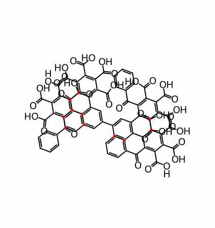 O=C(O)c1c(C(=O)O)c(C(=O)O)c(-c2ccc(-c3ccc(-c4c(C(=O)O)c(C(=O)O)c(C(=O)O)c(C(=O)O)c4C(=O)c4ccccc4)c(-c4c(C(=O)O)c(C(=O)O)c(C(=O)O)c(C(=O)O)c4C(=O)c4ccccc4)c3)cc2-c2c(C(=O)O)c(C(=O)O)c(C(=O)O)c(C(=O)O)c2C(=O)c2ccccc2)c(C(=O)c2ccccc2)c1C(=O)O